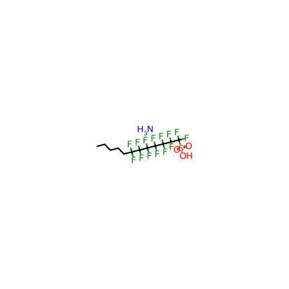 CCCCCC(F)(F)C(F)(F)C(F)(F)C(F)(F)C(F)(F)C(F)(F)C(F)(F)S(=O)(=O)O.N